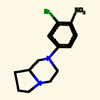 O=[N+]([O-])c1ccc(N2CCN3CCCC3C2)cc1Br